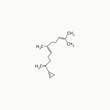 C=C(CC/C=C(\C)CCC=C(C)C)C1=CC1